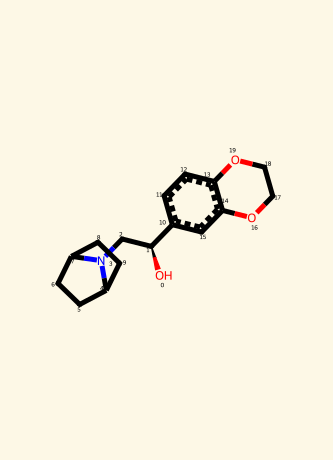 O[C@@H](CN1C2CCC1CC2)c1ccc2c(c1)OCCO2